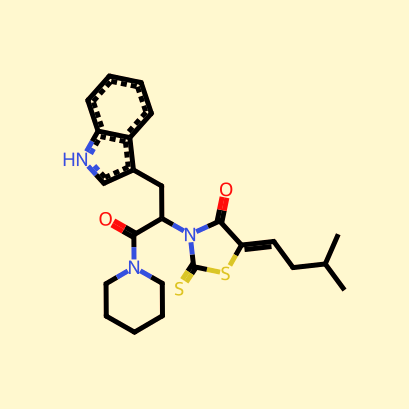 CC(C)CC=C1SC(=S)N(C(Cc2c[nH]c3ccccc23)C(=O)N2CCCCC2)C1=O